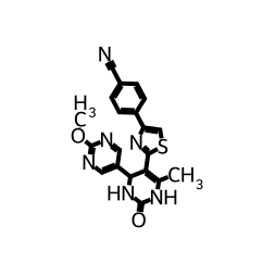 COc1ncc(C2NC(=O)NC(C)=C2c2nc(-c3ccc(C#N)cc3)cs2)cn1